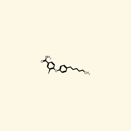 CCCCCCc1ccc(Oc2ccc(C(N)=O)cc2F)cc1